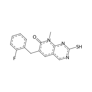 Cn1c(=O)c(Cc2ccccc2F)cc2cnc(S)nc21